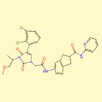 COCC(C)n1c(=O)c(-c2cccc(Cl)c2Cl)cn(CC(=O)Nc2ccc3c(c2)CC(C(=O)Nc2ccccn2)C3)c1=O